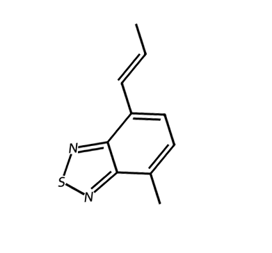 C/C=C/c1ccc(C)c2nsnc12